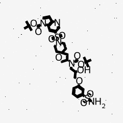 CC(C)(C)OC(=O)N(CC(O)COc1cccc(S(N)(=O)=O)c1)[C@H]1COC2(CCN(S(=O)(=O)c3cnc4ccn(C(=O)OC(C)(C)C)c4c3)CC2)C1